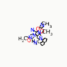 C=CC(=O)N1CCN(c2c(C#N)c(O[C@@H]3CN(C)C[C@H]3OC)nc3c2CCN(c2cccc4cccc(C)c24)C3)C[C@@H]1CC#N